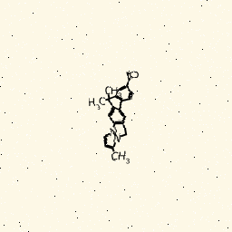 CC1C=CN2c3cc4c(cc3CN12)-c1ccc(C2CO2)cc1C4(C)C